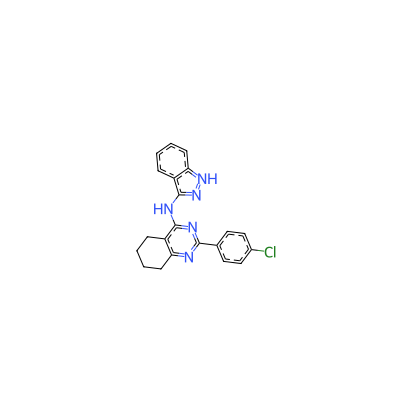 Clc1ccc(-c2nc3c(c(Nc4n[nH]c5ccccc45)n2)CCCC3)cc1